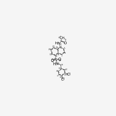 CC(=O)Nc1cccc2c(S(=O)(=O)NCc3ccc(Cl)c(Cl)c3)cccc12